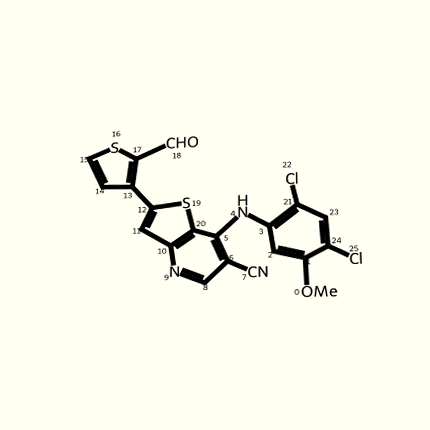 COc1cc(Nc2c(C#N)cnc3cc(-c4ccsc4C=O)sc23)c(Cl)cc1Cl